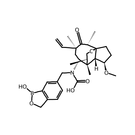 C=C[C@]1(C)C[C@@H](N(Cc2ccc3c(c2)B(O)OC3)C(=O)O)[C@]2(C)[C@H](C)CC[C@]3(CC[C@@H](OC)[C@@H]32)[C@@H](C)C1=O